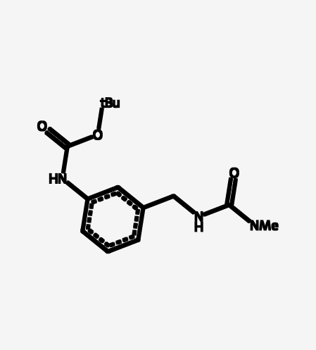 CNC(=O)NCc1cccc(NC(=O)OC(C)(C)C)c1